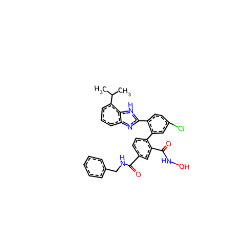 CC(C)c1cccc2nc(-c3ccc(Cl)cc3-c3ccc(C(=O)NCc4ccccc4)cc3C(=O)NO)[nH]c12